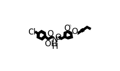 CCC#CCOc1ccc(CONC(=O)C(O)c2ccc(Cl)cc2)cc1OC